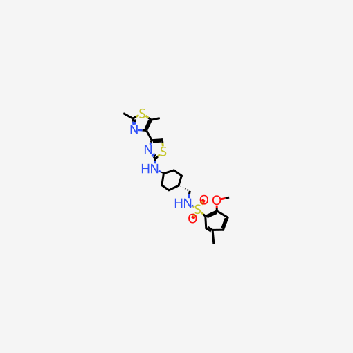 COc1ccc(C)cc1S(=O)(=O)NC[C@H]1CC[C@H](Nc2nc(-c3nc(C)sc3C)cs2)CC1